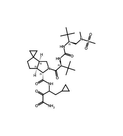 CN(C[C@@H](NC(=O)N[C@H](C(=O)N1C[C@H]2[C@H](CCC23CC3)[C@H]1C(=O)NC(CC1CC1)C(=O)C(N)=O)C(C)(C)C)C(C)(C)C)S(C)(=O)=O